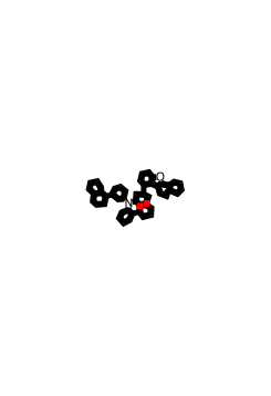 c1ccc(-c2ccccc2N(c2cccc(-c3cccc4ccccc34)c2)c2cccc(-c3cccc4oc5c6ccccc6ccc5c34)c2)cc1